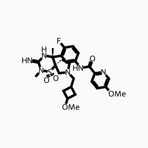 COc1ccc(C(=O)Nc2ccc(F)c([C@@]3(C)NC(=N)N(C)S(=O)(=O)[C@@]34CCN(CC3CC(OC)C3)C4)c2)nc1